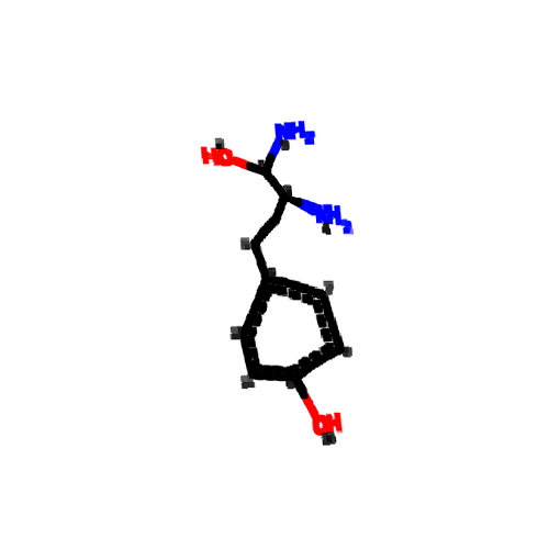 NC(O)[C@@H](N)Cc1ccc(O)cc1